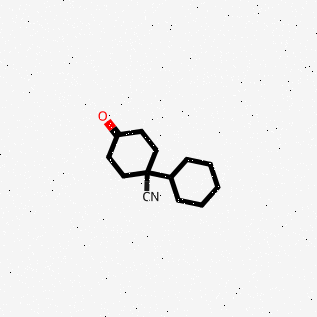 N#CC1(C2CCCCC2)CCC(=O)CC1